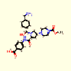 COC(=O)N1CCN([C@H]2C[C@@H](C(=O)Nc3ccc(C(=O)O)cc3)N(C(O)[C@H]3CC[C@H](CN)CC3)C2)CC1